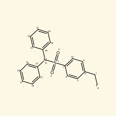 O=S(=O)(c1ccc(CF)cc1)N(c1ccccc1)c1ccccc1